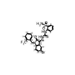 NS(=O)(=O)c1ccccc1NC(=S)NN=C1C(=O)N(Cc2ccccc2C(F)(F)F)c2ccc(Br)cc21